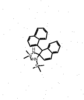 C[Si](C)(C)NC1(N[Si](C)(C)C)C=Cc2ccccc2C1c1cccc2ccccc12